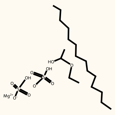 CCCCCCCCCCCCCC.CCOC(C)O.O=S(=O)([O-])O.O=S(=O)([O-])O.[Mg+2]